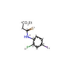 CCOC(=O)CC(=S)Nc1ccc(I)cc1F